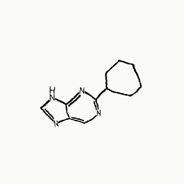 c1nc2cnc(C3CCCCC3)nc2[nH]1